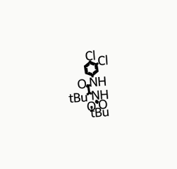 CC(C)(C)OC(=O)NC(C(=O)Nc1ccc(Cl)c(Cl)c1)C(C)(C)C